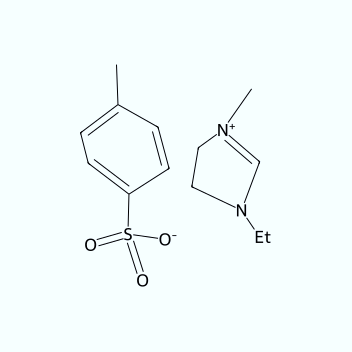 CCN1C=[N+](C)CC1.Cc1ccc(S(=O)(=O)[O-])cc1